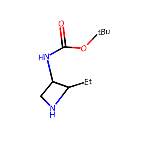 CCC1NCC1NC(=O)OC(C)(C)C